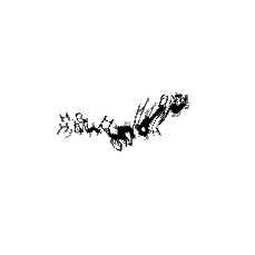 CCN(CC)CCCNC(=O)c1ccc(Nc2cccc(C(=O)Nc3ccncn3)c2)cn1